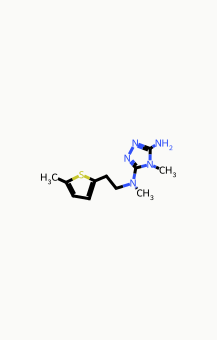 Cc1ccc(CCN(C)c2nnc(N)n2C)s1